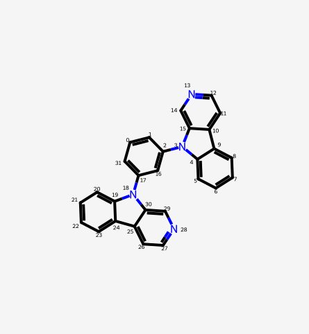 c1cc(-n2c3ccccc3c3ccncc32)cc(-n2c3ccccc3c3ccncc32)c1